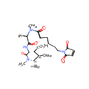 CC[C@H](C)[C@@H]([C@@H](CC(=O)O)OC)N(C)C(=O)CNC(=O)C(C(C)C)N(C)C(=O)CCCCCN1C(=O)C=CC1=O